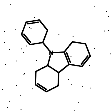 C1=CCC(N2C3=C(C=CCC3)C3CC=CCC32)C=C1